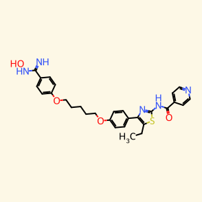 CCc1sc(NC(=O)c2ccncc2)nc1-c1ccc(OCCCCCOc2ccc(C(=N)NO)cc2)cc1